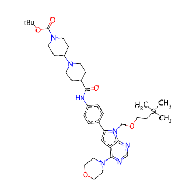 CC(C)(C)OC(=O)N1CCC(N2CCC(C(=O)Nc3ccc(-c4cc5c(N6CCOCC6)ncnc5n4COCC[Si](C)(C)C)cc3)CC2)CC1